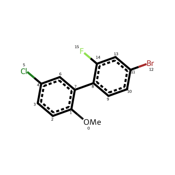 COc1ccc(Cl)cc1-c1ccc(Br)cc1F